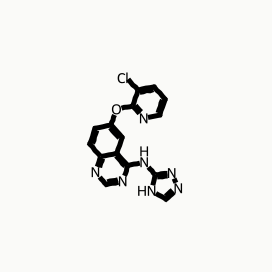 Clc1cccnc1Oc1ccc2ncnc(Nc3nnc[nH]3)c2c1